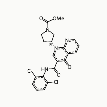 COC(=O)N1CC[C@@H](n2cc(C(=O)Nc3c(Cl)cccc3Cl)c(=O)c3cccnc32)C1